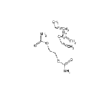 C=C.C=CC.C=CC.NC(=O)OCCOC(N)=O